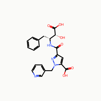 O=C(N[C@H](Cc1ccccc1)[C@@H](O)C(=O)O)c1cc(C(=O)O)n(Cc2cccnc2)n1